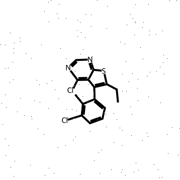 CCc1sc2ncnc(Cl)c2c1-c1cccc(Cl)c1C